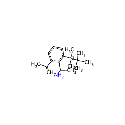 C=C(C)c1cccc([Si](C)(C)C(C)(C)C)c1C(C)N